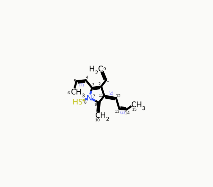 C=Cc1c(/C=C\C)n(S)c(=C)/c1=C\C=C/C